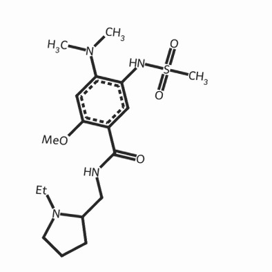 CCN1CCCC1CNC(=O)c1cc(NS(C)(=O)=O)c(N(C)C)cc1OC